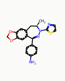 C[C@@H]1Cc2cc3c(cc2C(c2ccc(N)cc2)=NN1c1nccs1)OCO3